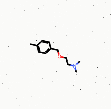 Cc1ccc(COCCN(C)C)cc1